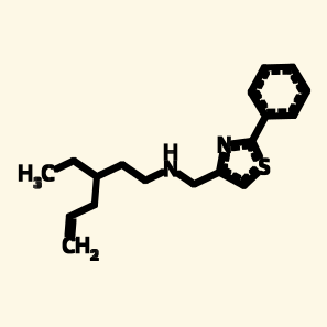 C=CCC(CC)CCNCc1csc(-c2ccccc2)n1